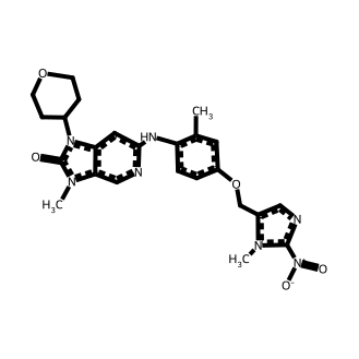 Cc1cc(OCc2cnc([N+](=O)[O-])n2C)ccc1Nc1cc2c(cn1)n(C)c(=O)n2C1CCOCC1